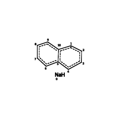 [NaH].[c]1cccc2ccccc12